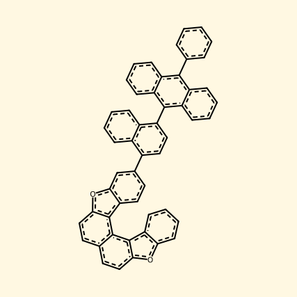 c1ccc(-c2c3ccccc3c(-c3ccc(-c4ccc5c(c4)oc4ccc6ccc7oc8ccccc8c7c6c45)c4ccccc34)c3ccccc23)cc1